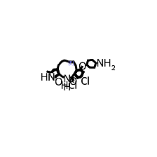 Cc1cc2c(c(=O)[nH]1)CNC(=O)c1cc(Cl)cc(O[C@H]3CC[C@H](N)CC3)c1C/C=C/CCC2.Cl